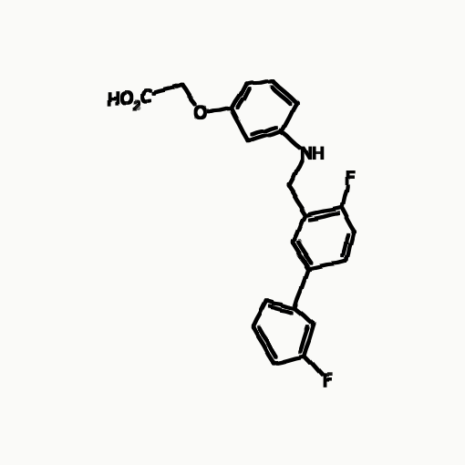 O=C(O)COc1cccc(NCc2cc(-c3cccc(F)c3)ccc2F)c1